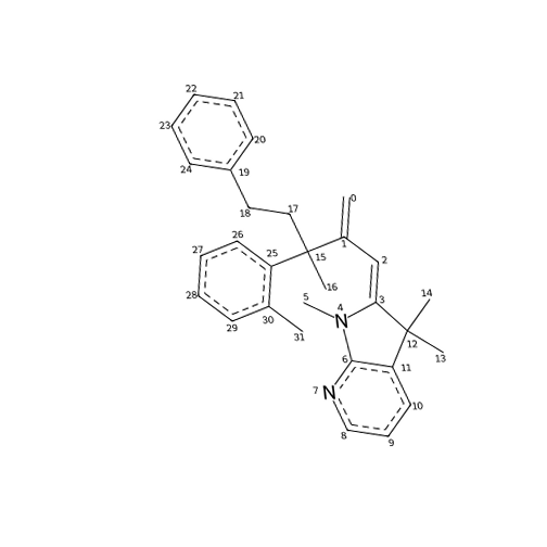 C=C(C=C1N(C)c2ncccc2C1(C)C)C(C)(CCc1ccccc1)c1ccccc1C